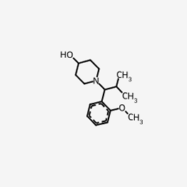 COc1ccccc1C(C(C)C)N1CCC(O)CC1